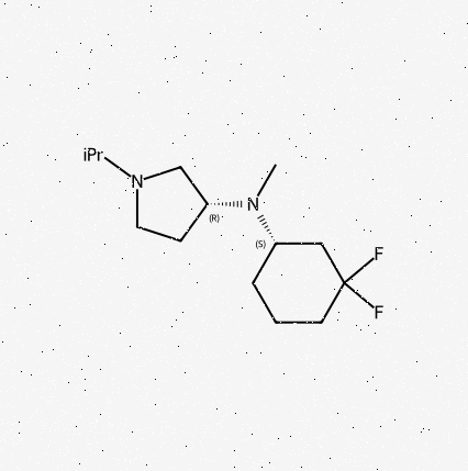 CC(C)N1CC[C@@H](N(C)[C@H]2CCCC(F)(F)C2)C1